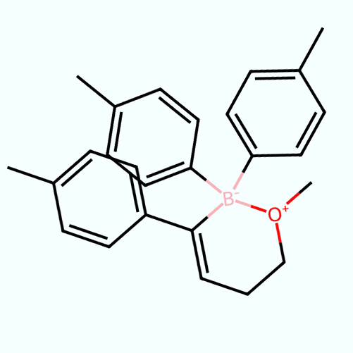 Cc1ccc(C2=CCC[O+](C)[B-]2(c2ccc(C)cc2)c2ccc(C)cc2)cc1